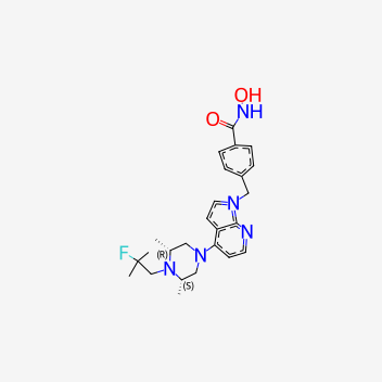 C[C@@H]1CN(c2ccnc3c2ccn3Cc2ccc(C(=O)NO)cc2)C[C@H](C)N1CC(C)(C)F